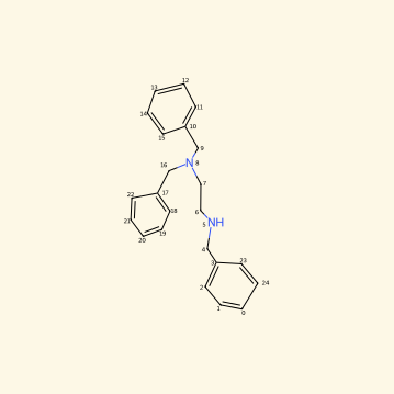 c1ccc(CNCCN(Cc2ccccc2)Cc2ccccc2)cc1